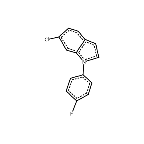 Fc1ccc(-n2ccc3ccc(Cl)cc32)cc1